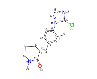 Cc1cc(/C=C2\CCCN(C)C2=O)ccc1-n1ccnc1Cl